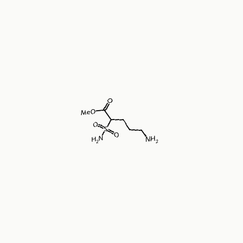 COC(=O)C(CCCN)S(N)(=O)=O